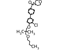 CCCCOCC(C)(C)COc1ccc(-c2ccc(C(=O)N3CCOCC3)cc2)cc1Cl